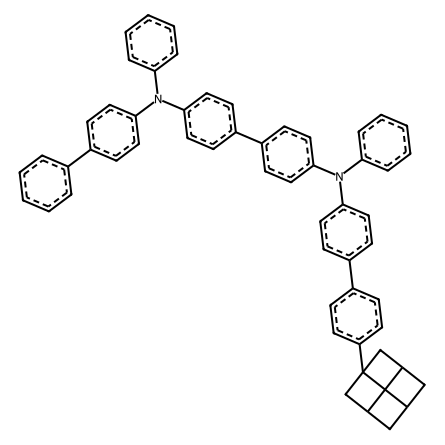 c1ccc(-c2ccc(N(c3ccccc3)c3ccc(-c4ccc(N(c5ccccc5)c5ccc(-c6ccc(C78CC9CC%10CC(C7)C%1098)cc6)cc5)cc4)cc3)cc2)cc1